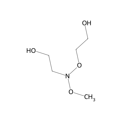 CON(CCO)OCCO